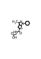 Cc1nn(-c2ccccc2)c2sc(C(=O)NCC(=O)O)cc12